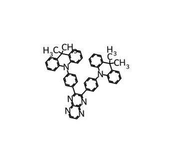 CC1(C)c2ccccc2N(c2ccc(-c3nc4nccnc4nc3-c3ccc(N4c5ccccc5C(C)(C)c5ccccc54)cc3)cc2)c2ccccc21